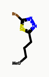 COCCCc1nnc(Br)s1